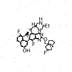 C#Cc1c(F)ccc2cc(O)cc(-c3nc4c5c(nc(OC[C@@]67CCCN6C[C@H](F)C7)nc5c3F)N3C[C@@H](CC)NC[C@H]3C[C@H]4C)c12